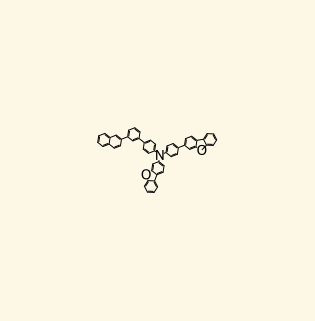 c1cc(-c2ccc(N(c3ccc(-c4ccc5c(c4)oc4ccccc45)cc3)c3ccc4c(c3)oc3ccccc34)cc2)cc(-c2ccc3ccccc3c2)c1